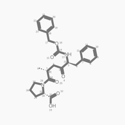 C[C@H](CC(=O)[C@H](Cc1ccccc1)NC(=O)OCc1ccccc1)C(=O)N1CCC[C@H]1C(=O)O